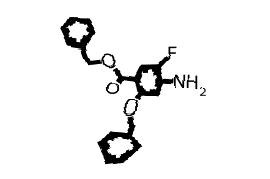 Nc1cc(OCc2ccccc2)c(C(=O)OCc2ccccc2)cc1F